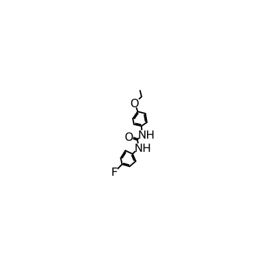 CCOc1ccc(NC(=O)Nc2ccc(F)cc2)cc1